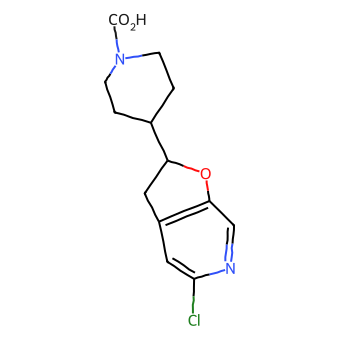 O=C(O)N1CCC(C2Cc3cc(Cl)ncc3O2)CC1